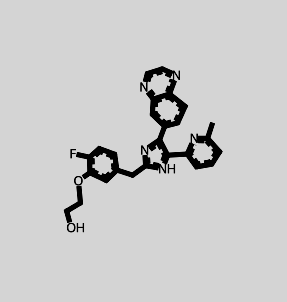 Cc1cccc(-c2[nH]c(Cc3ccc(F)c(OCCO)c3)nc2-c2ccc3nccnc3c2)n1